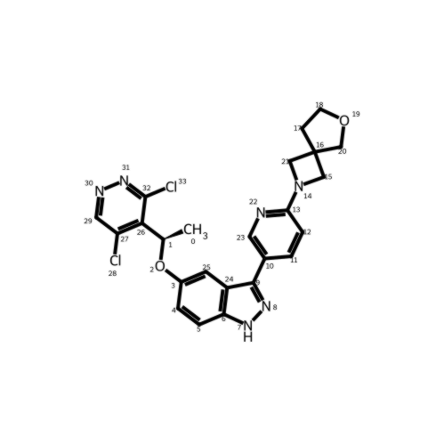 C[C@@H](Oc1ccc2[nH]nc(-c3ccc(N4CC5(CCOC5)C4)nc3)c2c1)c1c(Cl)cnnc1Cl